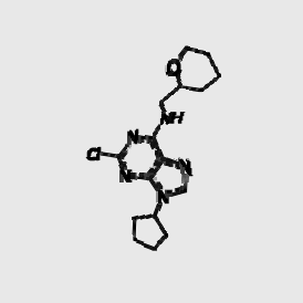 Clc1nc(NCC2CCCCO2)c2ncn(C3CCCC3)c2n1